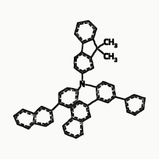 CC1(C)c2ccccc2-c2ccc(N(c3ccc(-c4ccc5ccccc5c4)cc3)c3ccc(-c4ccccc4)cc3-c3ccc4ccccc4c3)cc21